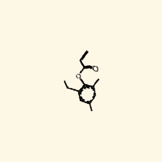 C=CC(=O)Oc1c(C)cc(C)cc1CC